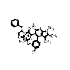 Cc1nc2c(c(C)c(C)n2C)c(-c2ccc(Cl)cc2)c1[C@@H](OC(C)(C)C)C(=O)N1C(=O)OC[C@H]1Cc1ccccc1